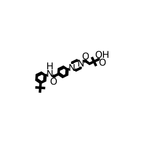 CC(C)(CC(=O)N1CCN(c2ccc(C(=O)Nc3cccc(C(C)(C)C)c3)cc2)CC1)C(=O)O